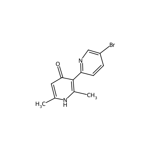 Cc1cc(=O)c(-c2ccc(Br)cn2)c(C)[nH]1